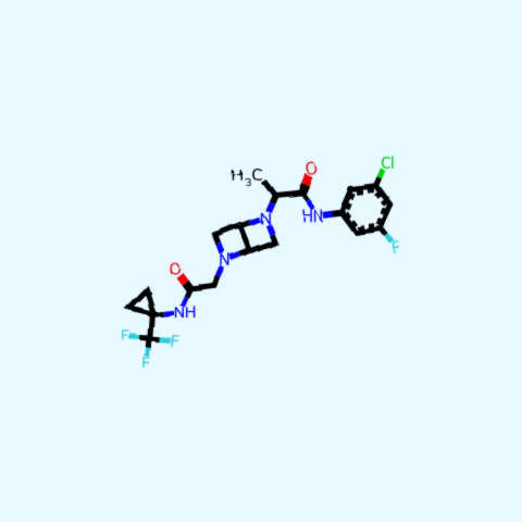 CC(C(=O)Nc1cc(F)cc(Cl)c1)N1CC2C1CN2CC(=O)NC1(C(F)(F)F)CC1